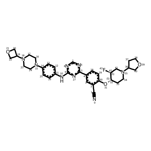 N#Cc1cc(-c2ncnc(Nc3ccc(N4CCN(C5COC5)CC4)cc3)n2)ccc1O[C@H]1CCN(C2CCOC2)C[C@@H]1F